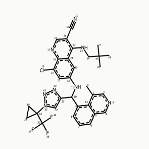 Cc1cncc2cccc(C(Nc3cc(Cl)c4ncc(C#N)c(NCC(C)(C)C)c4c3)c3cn(C4(C(F)(F)F)CC4)nn3)c12